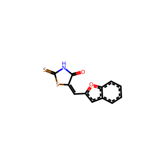 O=C1NC(=S)SC1=Cc1cc2ccccc2o1